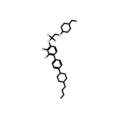 CCCCC1CCC(c2ccc(-c3ccc(OC(F)(F)COC4CCC(CC)CC4)c(F)c3F)cc2)CC1